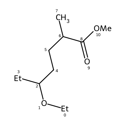 CCOC(CC)CCC(C)C(=O)OC